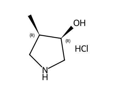 C[C@@H]1CNC[C@@H]1O.Cl